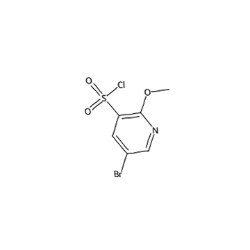 COc1ncc(Br)cc1S(=O)(=O)Cl